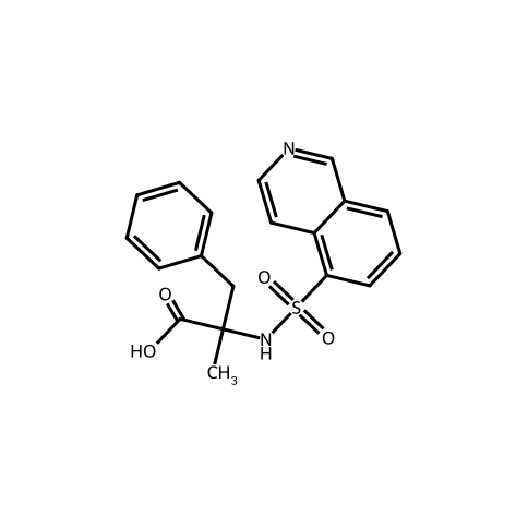 CC(Cc1ccccc1)(NS(=O)(=O)c1cccc2cnccc12)C(=O)O